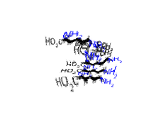 CC(=O)O.CC(=O)O.CC(=O)O.NCCCCC(N)C(=O)O.NCCCCC(N)C(=O)O.NCCCCC(N)C(=O)O.NCCCCC(N)C(=O)O